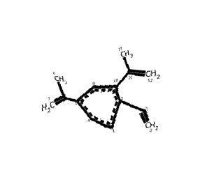 C=Cc1ccc(C(=C)C)cc1C(=C)C